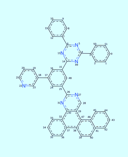 c1ccc(-c2nc(-c3ccccc3)nc(-c3cc(-c4cccnc4)cc(-c4ncc5c(n4)c4ccccc4c4ccc6ccccc6c45)c3)n2)cc1